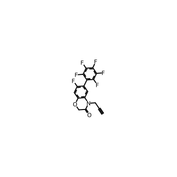 C#CCN1C(=O)COc2cc(F)c(-c3c(F)c(F)c(F)c(F)c3F)cc21